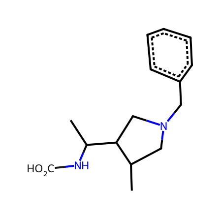 CC1CN(Cc2ccccc2)CC1C(C)NC(=O)O